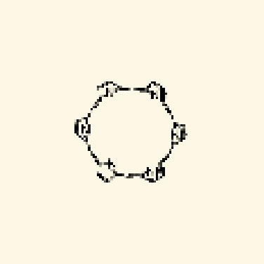 C1=CC2=NC1=CC1=NC(C=C1)/C=C1/C=CC(=N1)/C=c1\cc/c([nH]1)=C/c1ccc([nH]1)C=c1cc/c([nH]1)=C/2